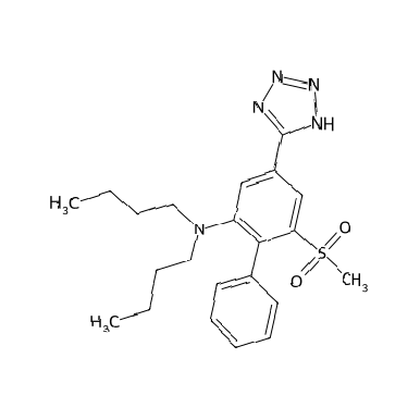 CCCCN(CCCC)c1cc(-c2nnn[nH]2)cc(S(C)(=O)=O)c1-c1ccccc1